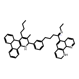 CCCCC1=C(C)C(c2cccc(CCC/C(=N\CC)C3=CC4=C(NCC=C4)C4N=CC=CC34)c2)NC2=C1C1C=CC=CC1c1ccccc12